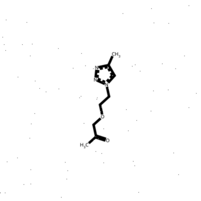 CC(=O)COCCn1cc(C)nn1